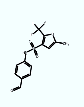 Cc1cc(S(=O)(=O)Nc2ccc(C=O)cc2)c(C(F)(F)F)o1